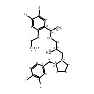 CCOC(=O)CCc1cc(F)c(F)cc1[C@@H](C)OC[C@H](O)CN1CCC[C@H]1Cc1ccc(Cl)c(F)c1